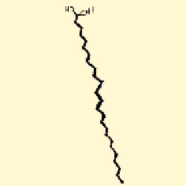 CCCCCCCCCCCCCCCCCCCCCCCCC(O)O